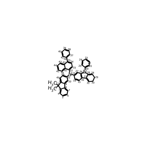 CC1(C)c2ccccc2-c2cc(N(c3ccc4c5c(n(-c6ccccc6)c4c3)=CCCC=5)c3ccc(-c4ccccc4)c4ccccc34)ccc21